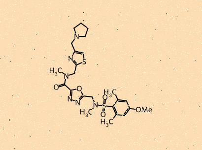 COc1cc(C)c(S(=O)(=O)N(C)Cc2nnc(C(=O)N(C)Cc3nc(CN4CCCC4)cs3)o2)c(C)c1